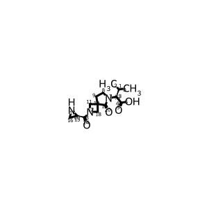 CC(C)[C@@H](C(=O)O)N1CCC2(CN(C(=O)[C@H]3CN3)C2)C1=O